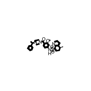 COc1cc(NS(=O)(=O)C2=CC[C@H](C)c3cccnc32)ccc1C(=O)N1CCN(C(C)c2ccccc2)CC1